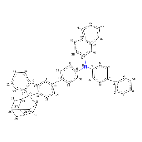 c1ccc(-c2ccc(N(c3ccc(-c4ccc5c(c4)-c4ccccc4C54C5CC6CC(C5)CC4C6)cc3)c3ccc4ccccc4c3)cc2)cc1